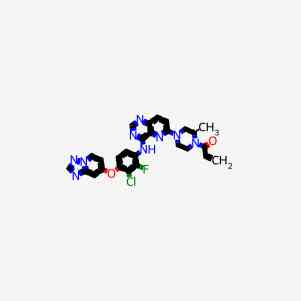 C=CC(=O)N1CCN(c2ccc3ncnc(Nc4ccc(Oc5ccn6ncnc6c5)c(Cl)c4F)c3n2)C[C@@H]1C